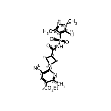 CCOC(=O)c1cc(C#N)c(N2CC(C(=O)NS(=O)(=O)c3c(C)nn(C)c3Cl)C2)nc1C